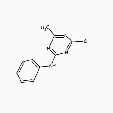 Cc1nc(Cl)nc(Nc2ccccc2)n1